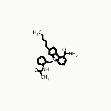 CCCCCc1c[c]c2c3c(C(N)=O)cccc3n(Cc3ccccc3NC(C)=O)c2c1